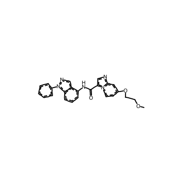 COCCOc1ccn2c(C(=O)Nc3cccc4c3cnn4-c3ccccc3)cnc2c1